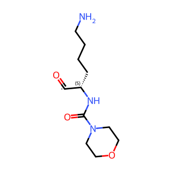 NCCCC[C@@H]([C]=O)NC(=O)N1CCOCC1